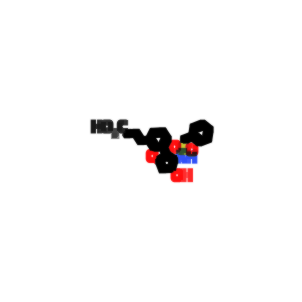 O=C(O)CCCc1cccc2c1OC1CC(O)C(NS(=O)(=O)Cc3ccccc3)C21